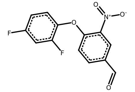 O=Cc1ccc(Oc2ccc(F)cc2F)c([N+](=O)[O-])c1